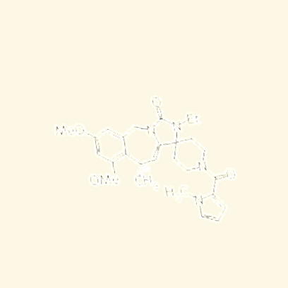 CCN1C(=O)N2Cc3cc(OC)cc(OC)c3[C@@H](C)C=C2C12CCN(C(=O)c1cccn1C)CC2